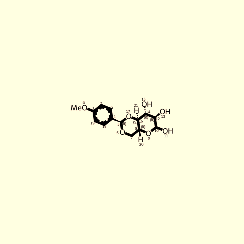 COc1ccc([C@@H]2OC[C@H]3OC(O)[C@H](O)[C@@H](O)[C@@H]3O2)cc1